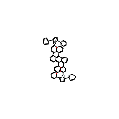 C1=CC(c2ccc(-c3ccccc3)n2-c2ccc(-c3cccc4c(-c5ccccc5)c5c(-c6ccc(-n7c(-c8ccccc8)ccc7-c7ccccc7)cc6)cccc5c(-c5ccccc5)c34)cc2)=CCC1